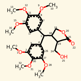 COc1cc(C(c2cc(OC)c(OC)c(OC)c2)C2COC(=O)C2CO)cc(OC)c1OC